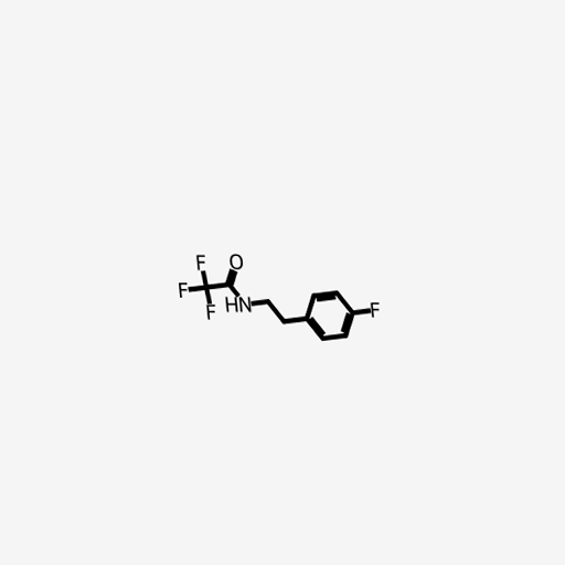 O=C(NCCc1ccc(F)cc1)C(F)(F)F